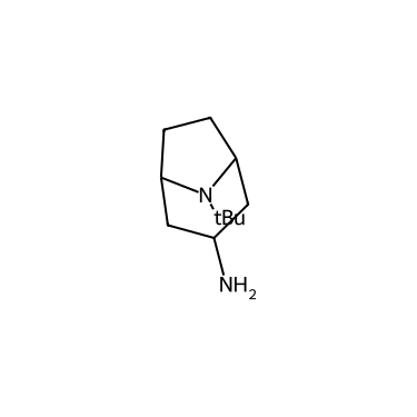 CC(C)(C)N1C2CCC1CC(N)C2